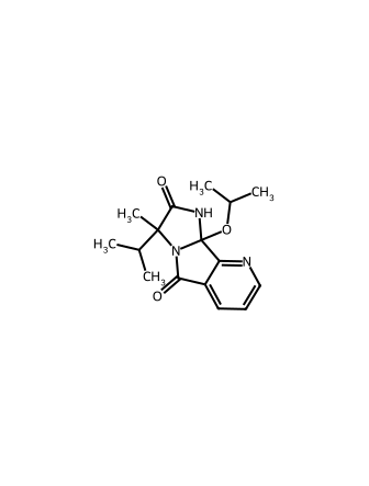 CC(C)OC12NC(=O)C(C)(C(C)C)N1C(=O)c1cccnc12